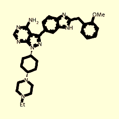 CCN1CCN([C@H]2CC[C@@H](n3nc(-c4ccc5nc(Cc6ccccc6OC)[nH]c5c4)c4c(N)ncnc43)CC2)CC1